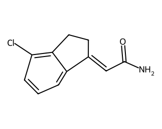 NC(=O)/C=C1\CCc2c(Cl)cccc21